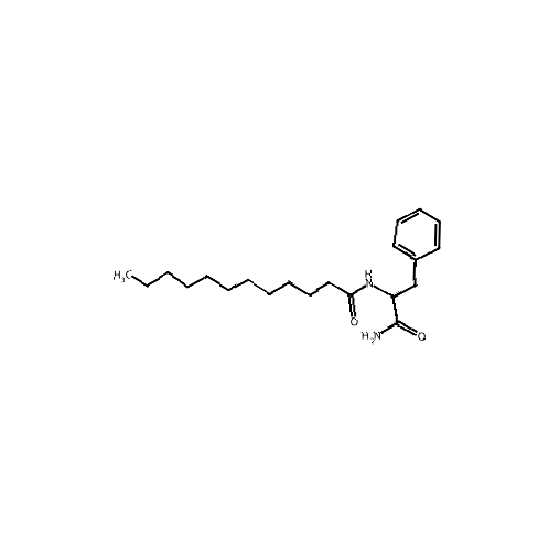 CCCCCCCCCCCC(=O)NC(Cc1ccccc1)C(N)=O